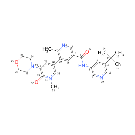 Cc1ncc(C(=O)Nc2cncc(C(C)(C)C#N)c2)cc1-c1cc(N2CCOCC2)c(=O)n(C)c1